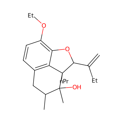 C=C(CC)C1Oc2c(OCC)ccc3c2C1(CCC)C(C)(O)C(C)C3